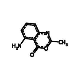 Cc1nc2cccc(N)c2c(=O)o1